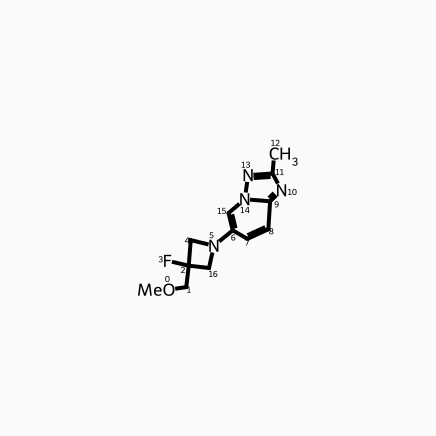 COCC1(F)CN(c2ccc3nc(C)nn3c2)C1